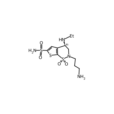 CCN[C@H]1CN(CCCN)S(=O)(=O)c2sc(S(N)(=O)=O)cc21